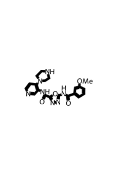 COc1cccc(C(=O)Nc2nnc(C(=O)Nc3cnccc3N3CCNCC3)o2)c1